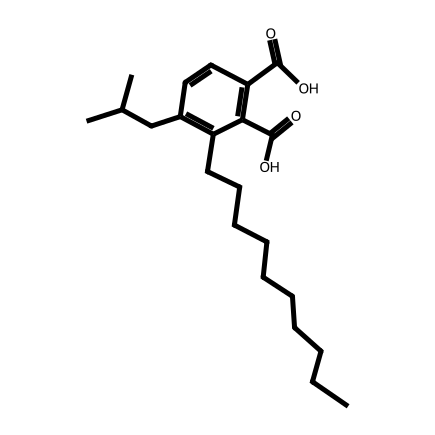 CCCCCCCCCCc1c(CC(C)C)ccc(C(=O)O)c1C(=O)O